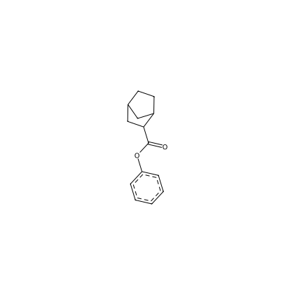 O=C(Oc1ccccc1)C1CC2CCC1C2